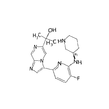 CC(C)(O)c1cn2c(-c3ccc(F)c(N[C@@H]4CCCNC4)n3)cnc2cn1